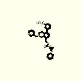 O=C(O)c1cccc(-c2ccc(CNC(=O)[C@H]3C[C@@H]3c3ccccc3)c3c2CCN(Cc2cccnc2)C3)c1